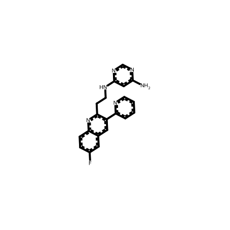 Nc1cc(NCCc2nc3ccc(F)cc3cc2-c2ccccn2)ncn1